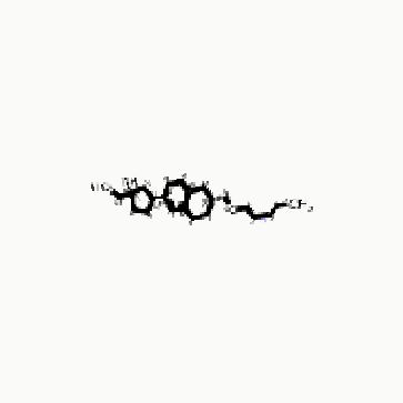 CC/C=C\COC[C@@H]1CCc2cc([C@H]3CC[C@](N)(CO)C3)ccc2C1